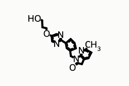 Cc1ccc2c(n1)N(Cc1cccc(-c3ncc(OCCCO)cn3)c1)C(=O)C2